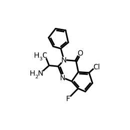 CC(N)c1nc2c(F)ccc(Cl)c2c(=O)n1-c1ccccc1